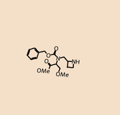 COCC(C(=O)OC)N(CC1CCN1)C(=O)OCc1ccccc1